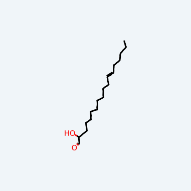 CCCCCC=CCCCCCCCCCC(O)C=O